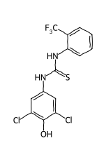 Oc1c(Cl)cc(NC(=S)Nc2ccccc2C(F)(F)F)cc1Cl